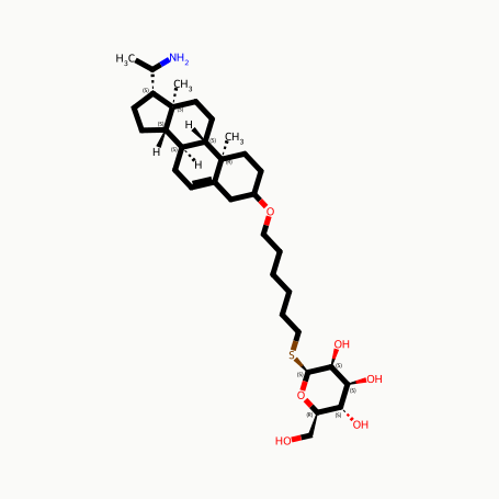 CC(N)[C@H]1CC[C@H]2[C@@H]3CC=C4CC(OCCCCCCS[C@@H]5O[C@H](CO)[C@@H](O)[C@H](O)[C@@H]5O)CC[C@]4(C)[C@H]3CC[C@]12C